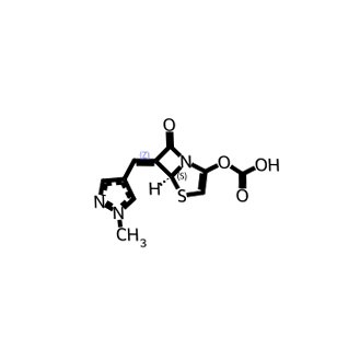 Cn1cc(/C=C2/C(=O)N3C(OC(=O)O)=CS[C@@H]23)cn1